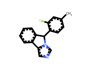 Cc1ccc(C2c3ccccc3-c3cncn32)c(F)c1